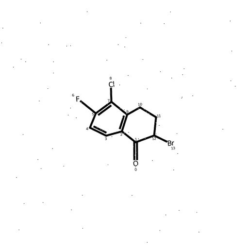 O=C1c2ccc(F)c(Cl)c2CCC1Br